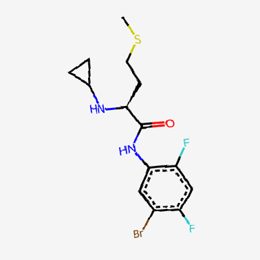 CSCC[C@H](NC1CC1)C(=O)Nc1cc(Br)c(F)cc1F